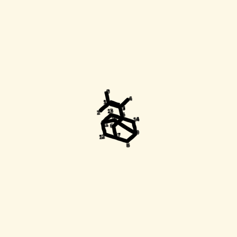 CC(C)=C(C)C12CC3CC(CC(C3)C1)C2